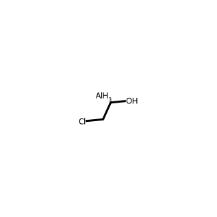 OCCCl.[AlH3]